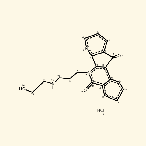 Cl.O=C1c2cccnc2-c2c1c1ccccc1c(=O)n2CCCNCCO